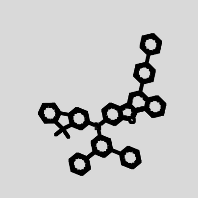 CC1(C)c2ccccc2-c2ccc(N(c3cc(-c4ccccc4)cc(-c4ccccc4)c3)c3ccc4c(c3)oc3c5ccccc5c(-c5ccc(-c6ccccc6)cc5)cc43)cc21